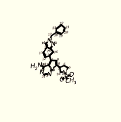 CS(=O)(=O)N1CCC(c2cc(-c3ccc4cn(Cc5ccccc5)nc4c3)c3c(N)ncnn23)C1